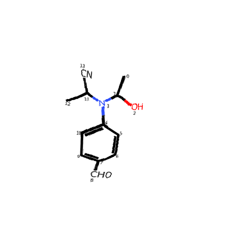 CC(O)N(c1ccc(C=O)cc1)C(C)C#N